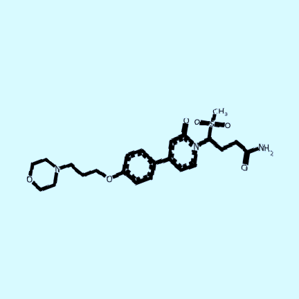 CS(=O)(=O)C(CCC(N)=O)n1ccc(-c2ccc(OCCCN3CCOCC3)cc2)cc1=O